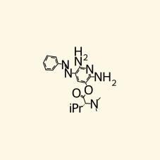 CC(C)[C@H](C(=O)Oc1cc(/N=N/c2ccccc2)c(N)nc1N)N(C)C